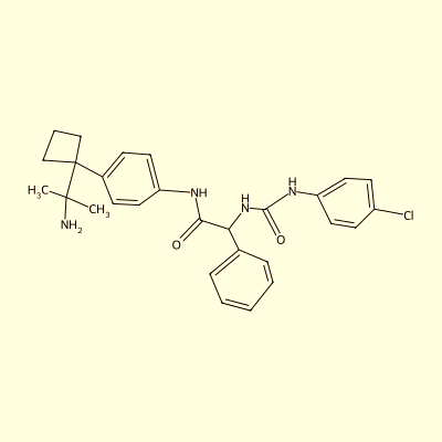 CC(C)(N)C1(c2ccc(NC(=O)C(NC(=O)Nc3ccc(Cl)cc3)c3ccccc3)cc2)CCC1